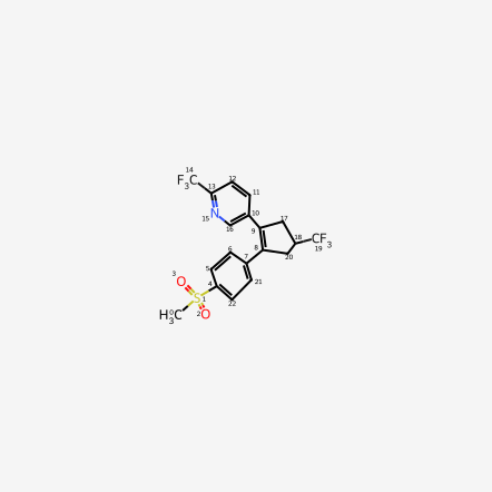 CS(=O)(=O)c1ccc(C2=C(c3ccc(C(F)(F)F)nc3)CC(C(F)(F)F)C2)cc1